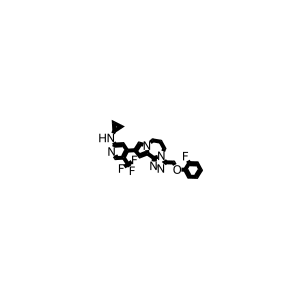 Fc1ccccc1OCc1nnc2n1CCCn1cc(-c3cc(NC4CC4)ncc3C(F)(F)F)cc1-2